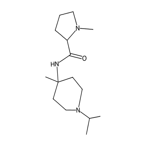 CC(C)N1CCC(C)(NC(=O)C2CCCN2C)CC1